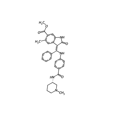 COC(=O)c1cc2c(cc1C)/C(=C(/Nc1ccc(C(=O)N[C@H]3CCCN(C)C3)cc1)c1ccccc1)C(=O)N2